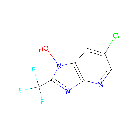 On1c(C(F)(F)F)nc2ncc(Cl)cc21